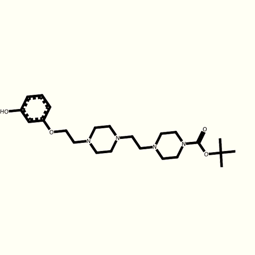 CC(C)(C)OC(=O)N1CCN(CCN2CCN(CCOc3cccc(O)c3)CC2)CC1